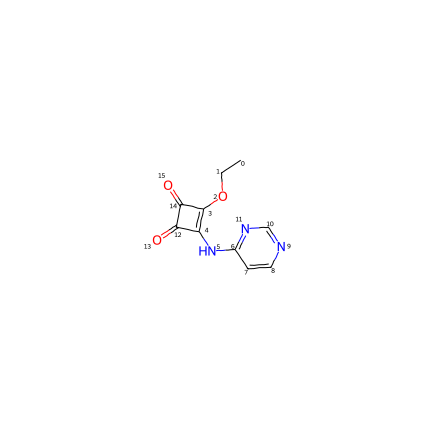 CCOc1c(Nc2ccncn2)c(=O)c1=O